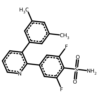 Cc1cc(C)cc(-c2cccnc2-c2cc(F)c(S(N)(=O)=O)c(F)c2)c1